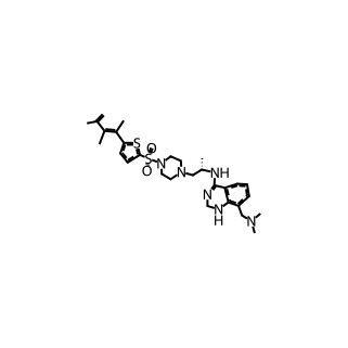 C=C(C)/C(C)=C(\C)c1ccc(S(=O)(=O)N2CCN(C[C@H](C)NC3=NCNc4c(CN(C)C)cccc43)CC2)s1